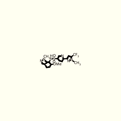 COc1ccc2cnn(C)c2c1NS(=O)(=O)c1ccc(-c2cc(C(F)(F)F)n(C)n2)nc1